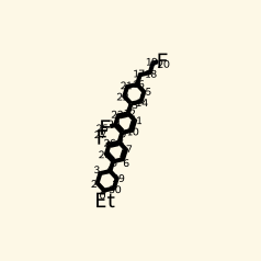 CCC1CCC(c2ccc(-c3ccc(C4CCC(CCCF)CC4)cc3F)c(F)c2)CC1